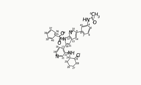 CC(=O)Nc1cccc(-c2cnc3c(c2)cc(-c2ccncc2NC2CCCCC2Cl)n3S(=O)(=O)c2ccccc2)c1